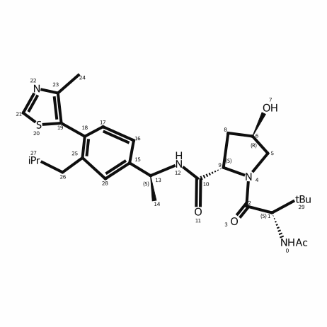 CC(=O)N[C@H](C(=O)N1C[C@H](O)C[C@H]1C(=O)N[C@@H](C)c1ccc(-c2scnc2C)c(CC(C)C)c1)C(C)(C)C